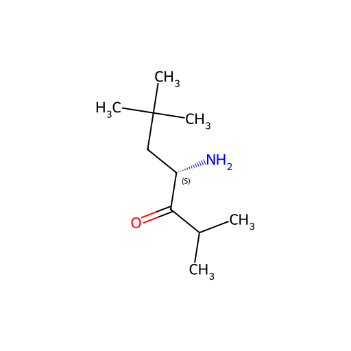 CC(C)C(=O)[C@@H](N)CC(C)(C)C